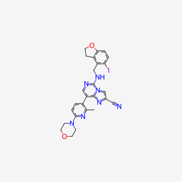 Cc1nc(N2CCOCC2)ccc1-c1cnc(NCc2c(I)ccc3c2CCO3)n2cc(C#N)nc12